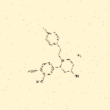 C.COc1ccc(C2CC(O)CCN2CCc2ccc(F)cc2)cc1OC